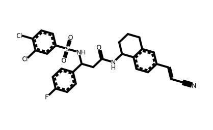 N#CC=Cc1ccc2c(c1)CCCC2NC(=O)CC(NS(=O)(=O)c1ccc(Cl)c(Cl)c1)c1ccc(F)cc1